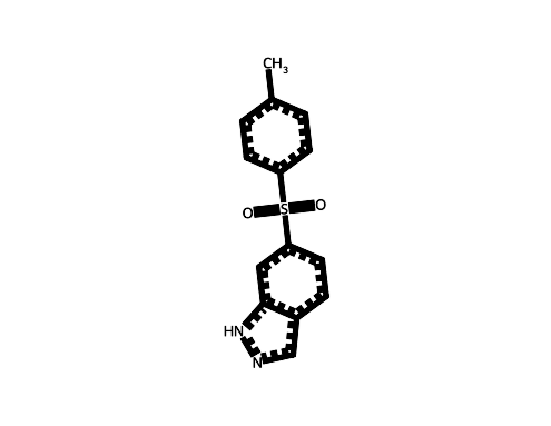 Cc1ccc(S(=O)(=O)c2ccc3cn[nH]c3c2)cc1